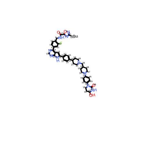 CC(C)(C)c1noc(C(=O)NCc2ccc(-c3ncnc4[nH]c(-c5ccc(C6CCN(CC7CCN(c8ccc(N9CCC(O)NC9=O)cc8)CC7)CC6)cc5)cc34)cc2F)n1